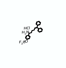 Cl.NC(CCCC=C(c1ccccc1)c1ccccc1)c1ccc(OC(F)(F)F)cc1